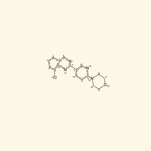 Clc1cccc2cnc(-c3ccc(N4CCOCC4)nc3)nc12